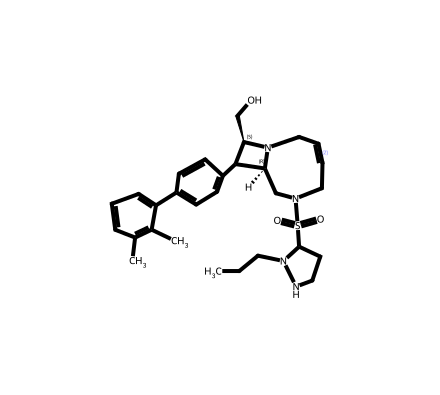 CCCN1NCCC1S(=O)(=O)N1C/C=C\CN2[C@H](CO)C(c3ccc(-c4cccc(C)c4C)cc3)[C@@H]2C1